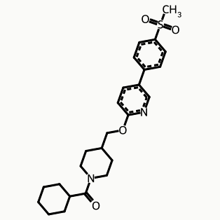 CS(=O)(=O)c1ccc(-c2ccc(OCC3CCN(C(=O)C4CCCCC4)CC3)nc2)cc1